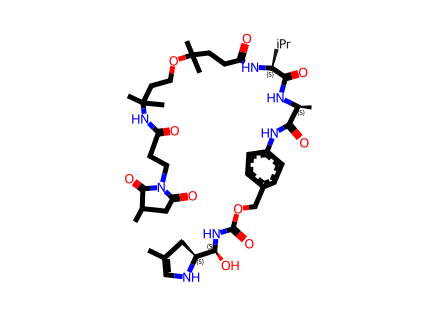 CC1=CN[C@H]([C@H](O)NC(=O)OCc2ccc(NC(=O)[C@H](C)NC(=O)[C@@H](NC(=O)CCC(C)(C)OCCC(C)(C)NC(=O)CCN3C(=O)CC(C)C3=O)C(C)C)cc2)C1